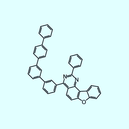 c1ccc(-c2ccc(-c3cccc(-c4cccc(-c5nc(-c6ccccc6)nc6c5ccc5oc7ccccc7c56)c4)c3)cc2)cc1